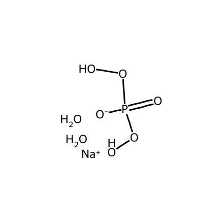 O.O.O=P([O-])(OO)OO.[Na+]